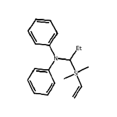 C=C[Si](C)(C)C(CC)N(c1ccccc1)c1ccccc1